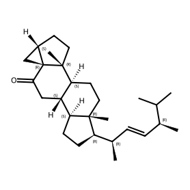 CC(C)[C@@H](C)C=C[C@@H](C)[C@H]1CC[C@H]2[C@@H]3CC(=O)[C@]45C[C@@H]4CC[C@]5(C)[C@H]3CC[C@]12C